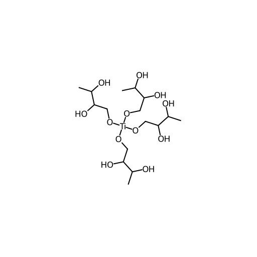 CC(O)C(O)C[O][Ti]([O]CC(O)C(C)O)([O]CC(O)C(C)O)[O]CC(O)C(C)O